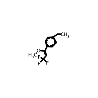 CCc1ccc(/C(=C/C(F)(F)F)OC)cc1